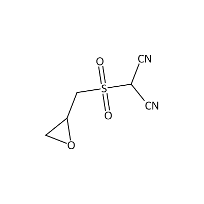 N#CC(C#N)S(=O)(=O)CC1CO1